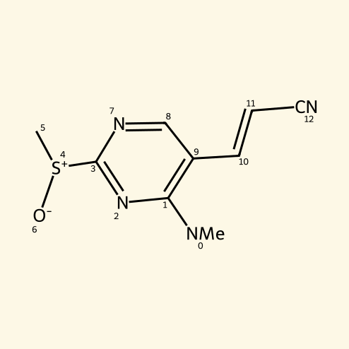 CNc1nc([S+](C)[O-])ncc1C=CC#N